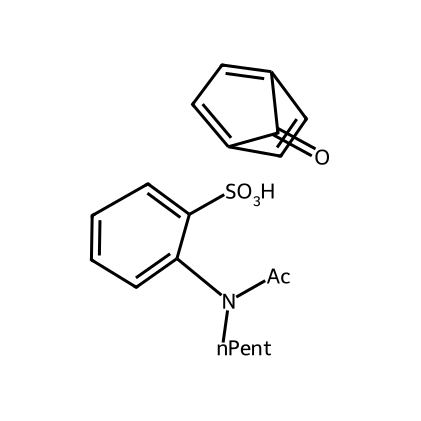 CCCCCN(C(C)=O)c1ccccc1S(=O)(=O)O.O=C1C2=CC=C1C=C2